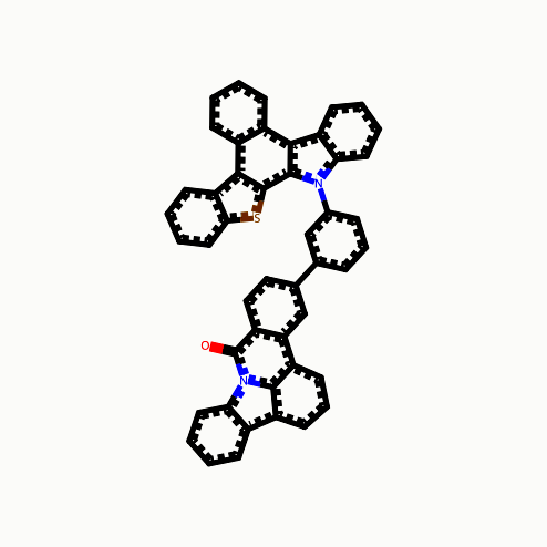 O=c1c2ccc(-c3cccc(-n4c5ccccc5c5c6ccccc6c6c7ccccc7sc6c54)c3)cc2c2cccc3c4ccccc4n1c23